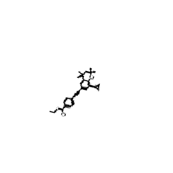 CCOC(=O)c1ccc(C#Cc2cc(C3CC3)c3c(c2)C(C)(C)CC(C)(C)O3)cc1